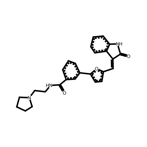 O=C1Nc2ccccc2/C1=C\c1ccc(-c2cccc(C(=O)NCCN3CCCC3)c2)o1